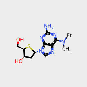 CCN(C)c1nc(N)nc2c1ncn2[C@@H]1C[C@H](O)[C@@H](CO)S1